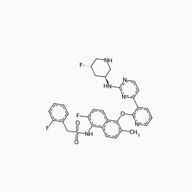 Cc1ccc2c(NS(=O)(=O)Cc3ccccc3F)c(F)ccc2c1Oc1ncccc1-c1ccnc(N[C@@H]2CNC[C@@H](F)C2)n1